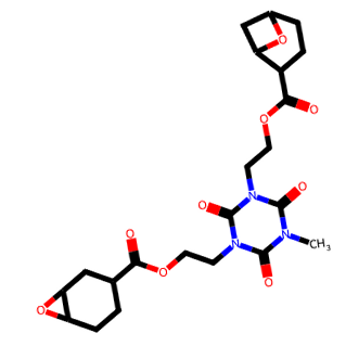 Cn1c(=O)n(CCOC(=O)C2CCC3OC3C2)c(=O)n(CCOC(=O)C2CCC3CC2O3)c1=O